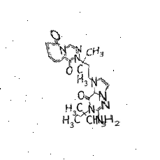 CC(C)(C)N1C(=O)C2N(CCC(C)(C)n3ncn4c(=O)cccc4c3=O)C=CN2N=C1N